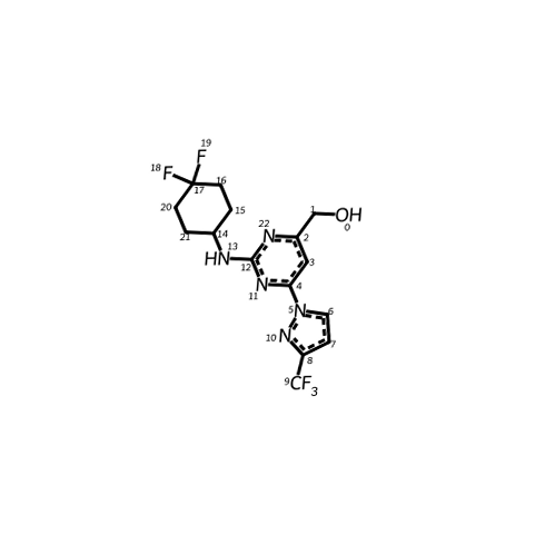 OCc1cc(-n2ccc(C(F)(F)F)n2)nc(NC2CCC(F)(F)CC2)n1